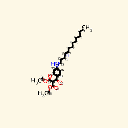 CCCCCCCCC/C=C/CCCNc1ccc(C(=O)C(C(=O)OCC)C(=O)OCC)cc1